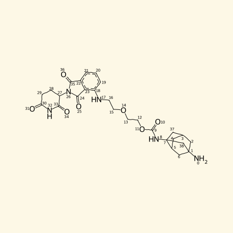 NC12CC3CC(C1)C(NC(=O)OCCOCCNc1cccc4c1C(=O)N(C1CCC(=O)NC1=O)C4=O)(C3)C2